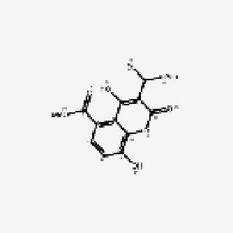 CCCCCC(CC)c1c(O)c2c(C(=O)OC)ccc(O)c2oc1=O